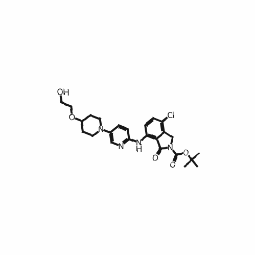 CC(C)(C)OC(=O)N1Cc2c(Cl)ccc(Nc3ccc(N4CCC(OCCO)CC4)cn3)c2C1=O